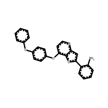 Nc1ccccc1-c1cc2nccc(Oc3ccc(Oc4ccccc4)cc3)c2o1